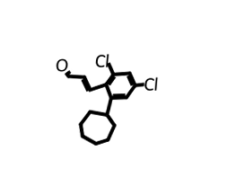 O=CC=Cc1c(Cl)cc(Cl)cc1C1CCCCCC1